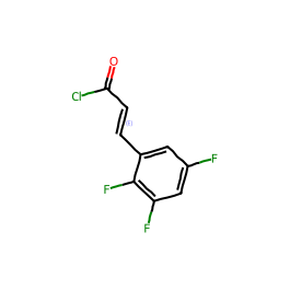 O=C(Cl)/C=C/c1cc(F)cc(F)c1F